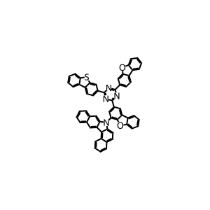 c1ccc2cc3c(cc2c1)c1c2ccccc2ccc1n3-c1cc(-c2nc(-c3ccc4c(c3)oc3ccccc34)nc(-c3ccc4c(c3)sc3ccccc34)n2)cc2c1oc1ccccc12